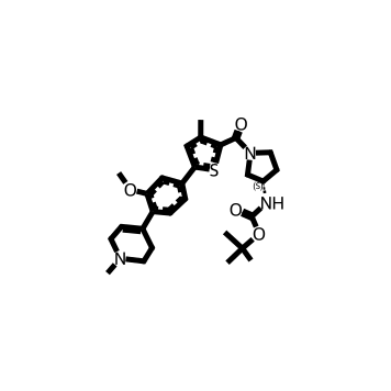 COc1cc(-c2cc(C)c(C(=O)N3CC[C@H](NC(=O)OC(C)(C)C)C3)s2)ccc1C1=CCN(C)CC1